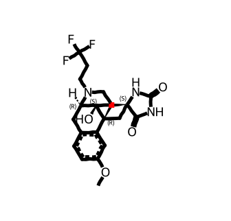 COc1ccc2c(c1)[C@]13CCN(CCC(F)(F)F)[C@H](C2)[C@]1(O)CC[C@@]1(C3)NC(=O)NC1=O